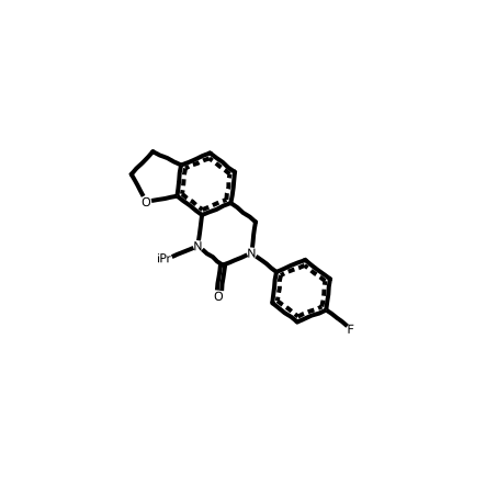 CC(C)N1C(=O)N(c2ccc(F)cc2)Cc2ccc3c(c21)OCC3